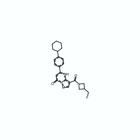 O=C(c1cnn2c(=O)cc(-c3ccc(C4CCCCC4)cc3)[nH]c12)N1CC(CF)C1